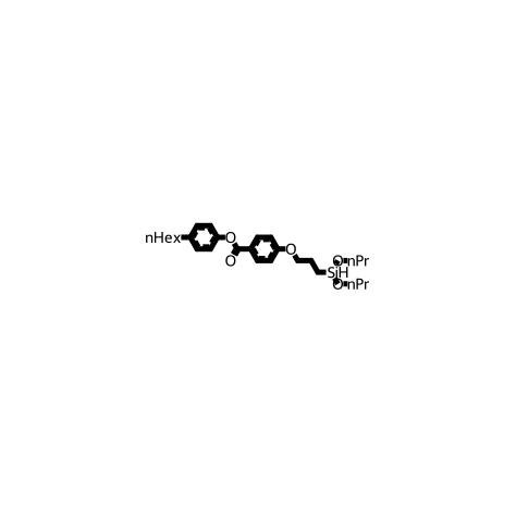 CCCCCCc1ccc(OC(=O)c2ccc(OCCC[SiH](OCCC)OCCC)cc2)cc1